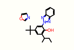 CCC(C)c1cc(C(C)(C)C)cc(-n2nc3ccccc3n2)c1O.c1cocn1